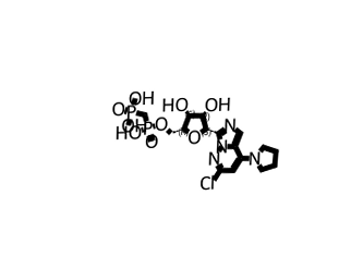 O=P(O)(O)CP(=O)(O)OC[C@H]1O[C@@H](c2ncc3c(N4CCCC4)cc(Cl)nn23)[C@H](O)[C@@H]1O